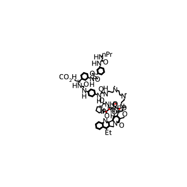 CCCNC(=O)Nc1cccc(S(=O)(=O)Nc2cccc([C@H](CC(=O)O)NC(=O)Nc3ccc(NC(=O)NCCN(C)CCN(C)CCN(C)CC(=O)NCC(=O)N4CCC[C@H]4C(=O)N[C@H](C(=O)O[C@]4(CC)C(=O)OCc5c4cc4n(c5=O)Cc5c-4nc4ccccc4c5CC)C(C)C)cc3)c2)c1